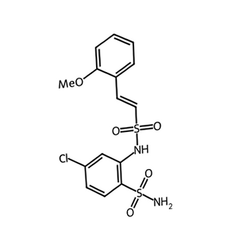 COc1ccccc1C=CS(=O)(=O)Nc1cc(Cl)ccc1S(N)(=O)=O